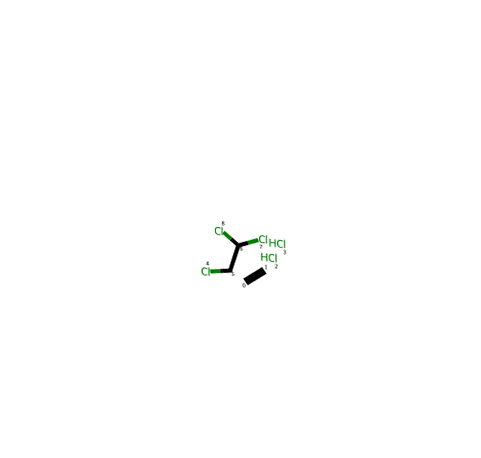 C=C.Cl.Cl.ClCC(Cl)Cl